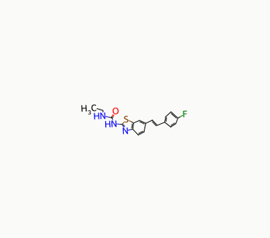 CCNC(=O)Nc1nc2ccc(C=Cc3ccc(F)cc3)cc2s1